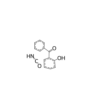 N=C=O.O=C(c1ccccc1)c1ccccc1O